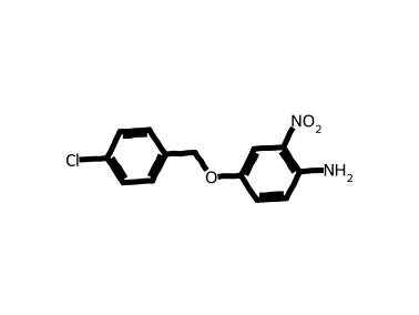 Nc1ccc(OCc2ccc(Cl)cc2)cc1[N+](=O)[O-]